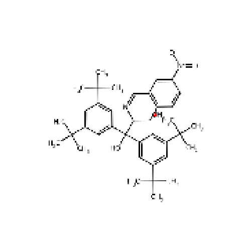 CCC(N=Cc1cc([N+](=O)[O-])ccc1O)C(O)(c1cc(C(C)(C)C)cc(C(C)(C)C)c1)c1cc(C(C)(C)C)cc(C(C)(C)C)c1